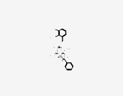 O=c1nc(SCc2cccc(Cl)c2Cl)[nH]c2nc(-c3ccccc3)nn12